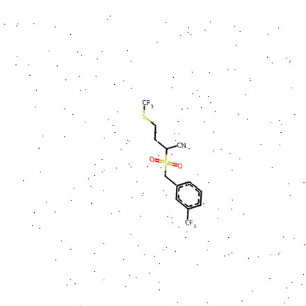 N#CC(CCSC(F)(F)F)S(=O)(=O)Cc1cccc(C(F)(F)F)c1